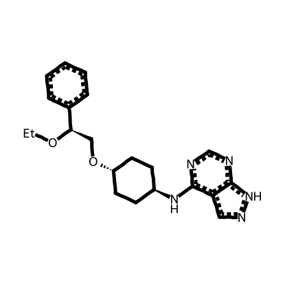 CCO[C@H](CO[C@H]1CC[C@H](Nc2ncnc3[nH]ncc23)CC1)c1ccccc1